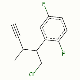 C#CC(C)C(CCl)c1cc(F)ccc1F